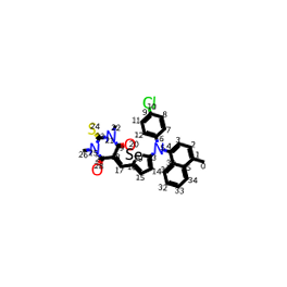 Cc1ccc(N(c2ccc(Cl)cc2)c2ccc(C=C3C(=O)N(C)C(=S)N(C)C3=O)[se]2)c2ccccc12